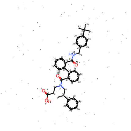 CC(CN(CCC(=O)O)C(=O)c1ccccc1-c1ccccc1C(=O)NCc1ccc(C(C)(C)C)cc1)c1ccccc1